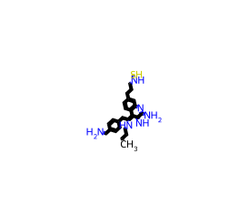 CCCCN/C(CC1C=CC(CN)=CC1)=C1\C(=N)C(N)=Nc2cc(CCCNS)ccc21